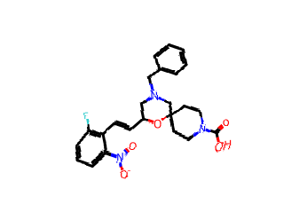 O=C(O)N1CCC2(CC1)CN(Cc1ccccc1)CC(/C=C/c1c(F)cccc1[N+](=O)[O-])O2